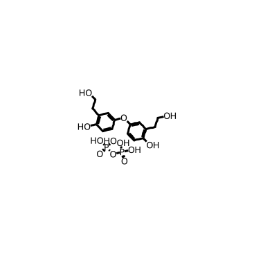 O=P(O)(O)OP(=O)(O)O.OCCc1cc(Oc2ccc(O)c(CCO)c2)ccc1O